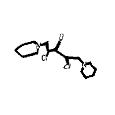 O=C(C(Cl)CN1CCCCC1)C(Cl)CN1CCCCC1